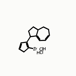 Cl.Cl.[Zr][C]1=C(C2CCC3CCC=CC=C32)C=CC1